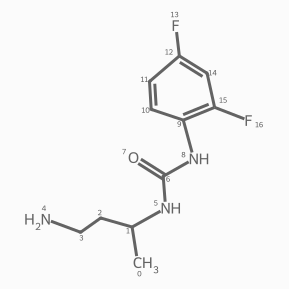 CC(CCN)NC(=O)Nc1ccc(F)cc1F